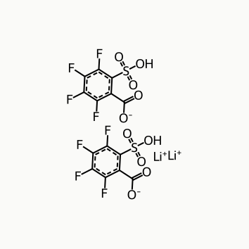 O=C([O-])c1c(F)c(F)c(F)c(F)c1S(=O)(=O)O.O=C([O-])c1c(F)c(F)c(F)c(F)c1S(=O)(=O)O.[Li+].[Li+]